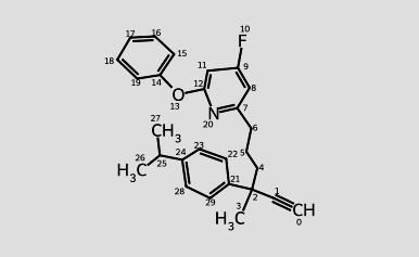 C#CC(C)(CCCc1cc(F)cc(Oc2ccccc2)n1)c1ccc(C(C)C)cc1